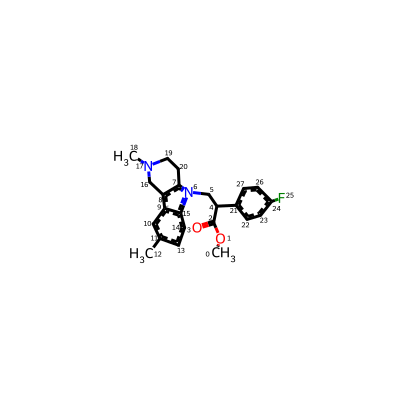 COC(=O)C(Cn1c2c(c3cc(C)ccc31)CN(C)CC2)c1ccc(F)cc1